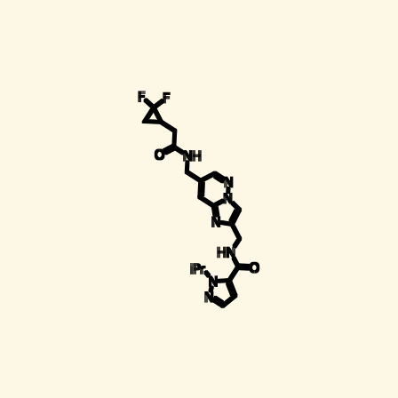 CC(C)n1nccc1C(=O)NCc1cn2ncc(CNC(=O)CC3CC3(F)F)cc2n1